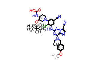 CCN(Cc1ccc(OC)cc1)c1nc(Nc2cc(C#N)cc(N3CC[C@@H](NC(=O)O)[C@H](O[Si](C)(C)C(C)(C)C)C3)c2Cl)nn2c(C#N)cnc12